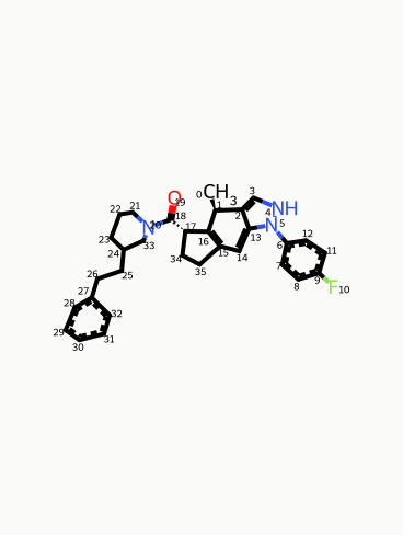 C[C@H]1C2=CNN(c3ccc(F)cc3)C2=CC2=C1[C@@H](C(=O)N1CCCC(CCc3ccccc3)C1)CC2